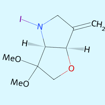 C=C1CN(I)[C@H]2[C@@H]1OCC2(OC)OC